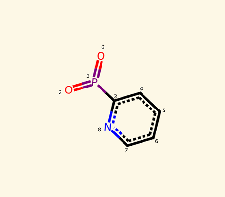 O=P(=O)c1ccccn1